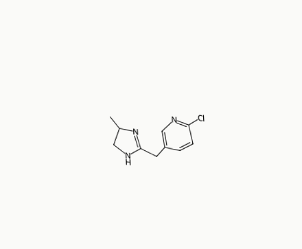 CC1CNC(Cc2ccc(Cl)nc2)=N1